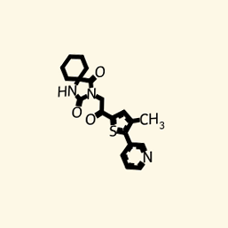 Cc1cc(C(=O)CN2C(=O)NC3(CCCCC3)C2=O)sc1-c1cccnc1